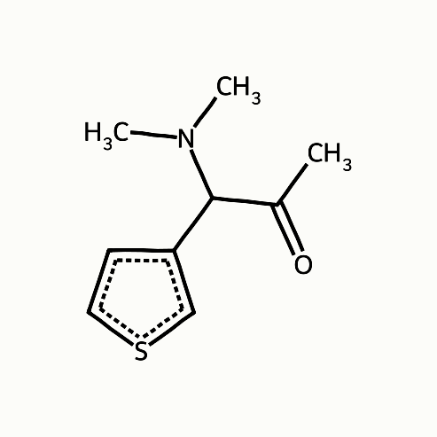 CC(=O)C(c1ccsc1)N(C)C